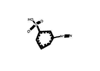 N#[N+]c1cccc(S(=O)(=O)O)c1